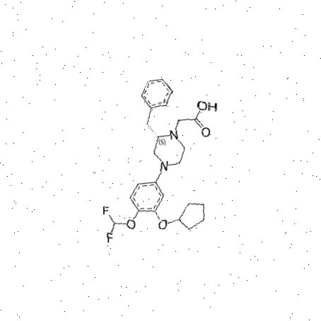 O=C(O)CN1CCN(c2ccc(OC(F)F)c(OC3CCCC3)c2)C[C@@H]1Cc1ccccc1